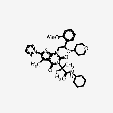 COc1ccccc1C(Cn1c(=O)n(C(C)(C)C(=O)NC2CCCCC2)c(=O)c2c(C)c(-n3nccn3)sc21)OC1CCOCC1